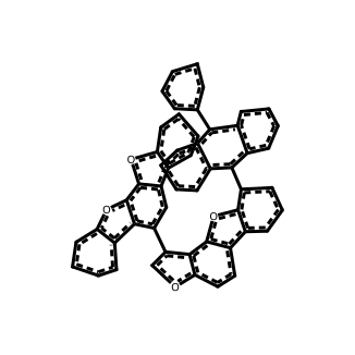 c1ccc(-c2c3ccccc3c(-c3cccc4c3oc3c4ccc4occ(-c5cc6c7ccccc7oc6c6oc7ccccc7c56)c43)c3ccccc23)cc1